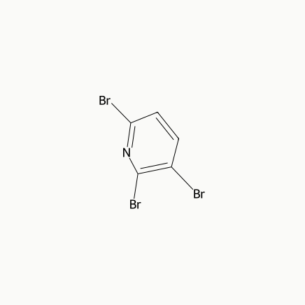 Brc1ccc(Br)c(Br)n1